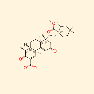 COC(=O)C1=C[C@]2(C)C3=CC(=O)C[C@@](C)(CC[C@@]4(C(=O)OC)CCC(C)(C)CC4C)[C@]3(C)CC[C@H]2[C@H](C)C1=O